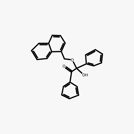 O=C(c1ccccc1)C(O)(OCc1cccc2ccccc12)c1ccccc1